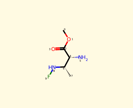 COC(=O)[C@H](N)[C@H](C)NF